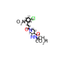 CC(NC(=O)C1CCN(C(=O)C=Cc2cc(Cl)ccc2[N+](=O)[O-])CC1)C(=O)O